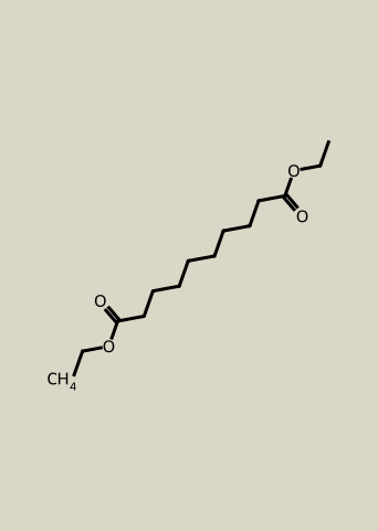 C.CCOC(=O)CCCCCCCCC(=O)OCC